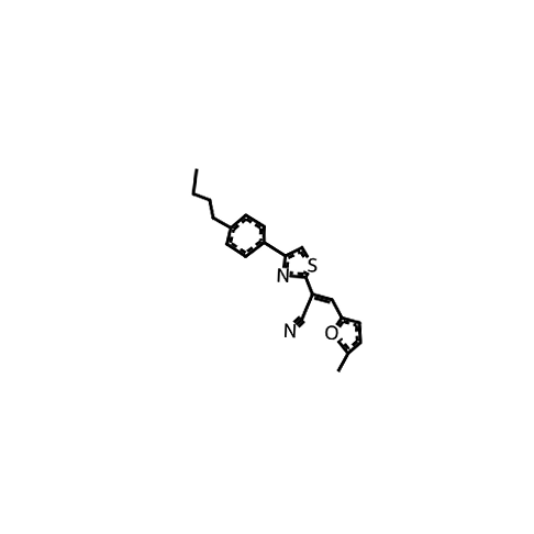 CCCCc1ccc(-c2csc(/C(C#N)=C/c3ccc(C)o3)n2)cc1